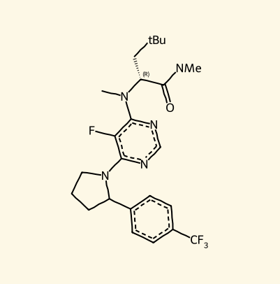 CNC(=O)[C@@H](CC(C)(C)C)N(C)c1ncnc(N2CCCC2c2ccc(C(F)(F)F)cc2)c1F